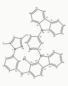 Cc1cc(C)n(-c2cccc(Oc3ccc4c5ccccc5n(-c5cc(-n6c7ccccc7c7ccccc76)ccn5)c4[c]3[Pt])c2)n1